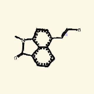 CN1C(=O)c2cccc3c(/C=C/Cl)ccc1c23